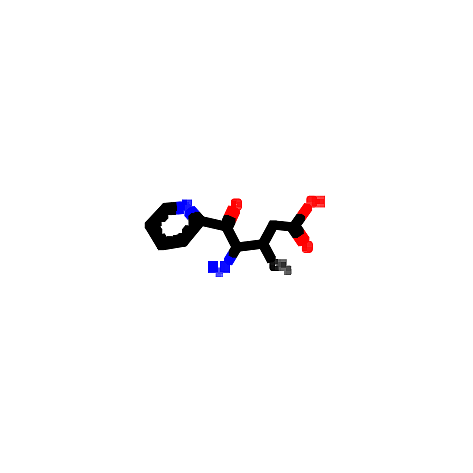 CC(CC(=O)O)C(N)C(=O)c1ccccn1